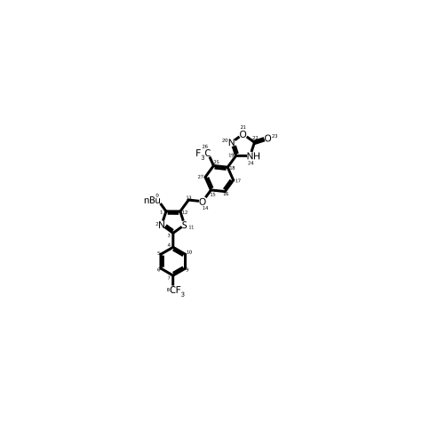 CCCCc1nc(-c2ccc(C(F)(F)F)cc2)sc1COc1ccc(-c2noc(=O)[nH]2)c(C(F)(F)F)c1